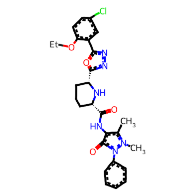 CCOc1ccc(Cl)cc1-c1nnc([C@H]2CCC[C@@H](C(=O)Nc3c(C)n(C)n(-c4ccccc4)c3=O)N2)o1